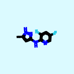 Cc1cc(Nc2ncc(F)cc2F)n[nH]1